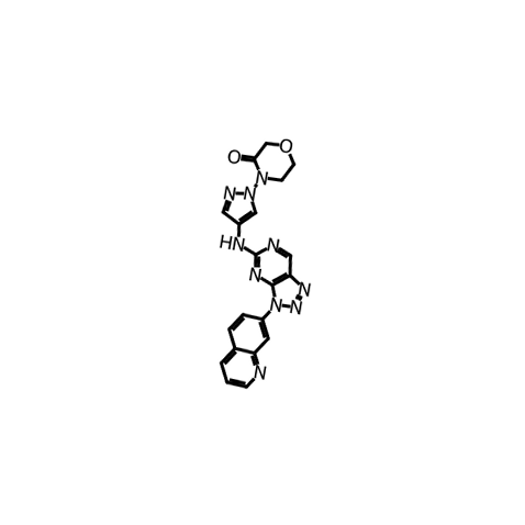 O=C1COCCN1n1cc(Nc2ncc3nnn(-c4ccc5cccnc5c4)c3n2)cn1